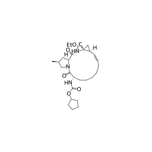 CCOC(=O)[C@@]12C[C@H]1/C=C\CCCCC[C@H](NC(=O)OC1CCCC1)C(=O)N1C[C@@H](C)C[C@H]1C(=O)N2